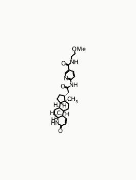 COCCNC(=O)c1ccc(NC(=O)C[C@H]2CC[C@H]3[C@@H]4CC[C@H]5NC(=O)C=C[C@]5(C)[C@H]4CC[C@]23C)nc1